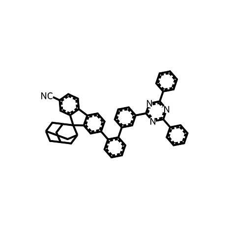 N#Cc1ccc2c(c1)C1(c3cc(-c4ccccc4-c4cccc(-c5nc(-c6ccccc6)nc(-c6ccccc6)n5)c4)ccc3-2)C2CC3CC(C2)CC1C3